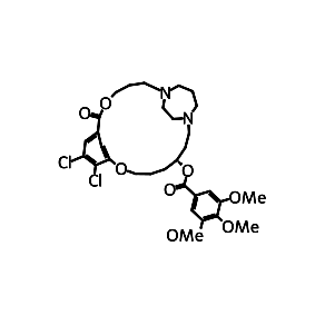 COc1cc(C(=O)O[C@H]2CCCOc3cc(cc(Cl)c3Cl)C(=O)OCCCN3CCCN(CC2)CC3)cc(OC)c1OC